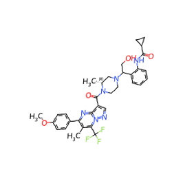 COc1ccc(-c2nc3c(C(=O)N4CCN(C(CO)c5ccccc5NC(=O)C5CC5)C[C@H]4C)cnn3c(C(F)(F)F)c2C)cc1